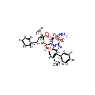 CCCc1ccc2c(nc(S(N)(=O)=O)n2C2=C(O)CC(CCC)(CCc3ccccc3)OC2=O)c1-c1ccccc1